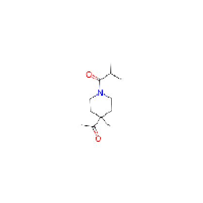 CC(=O)C1(C)CCN(C(=O)C(C)C)CC1